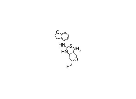 N[C@H]1CO[C@@H](CF)C[C@H]1NC(=S)Nc1cccc2c1CCO2